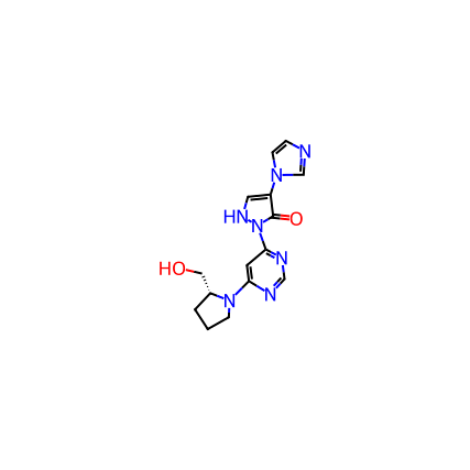 O=c1c(-n2ccnc2)c[nH]n1-c1cc(N2CCC[C@@H]2CO)ncn1